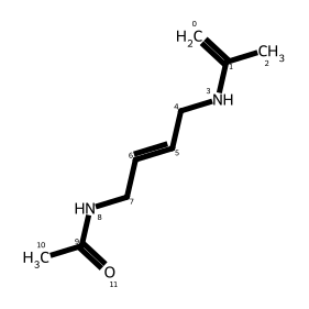 C=C(C)NC/C=C/CNC(C)=O